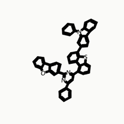 c1ccc(-c2cc(-c3cccc4sc5c(-c6ccc7c8ccccc8n(-c8ccccc8)c7c6)cccc5c34)nc(-c3ccc4c(c3)oc3ccccc34)n2)cc1